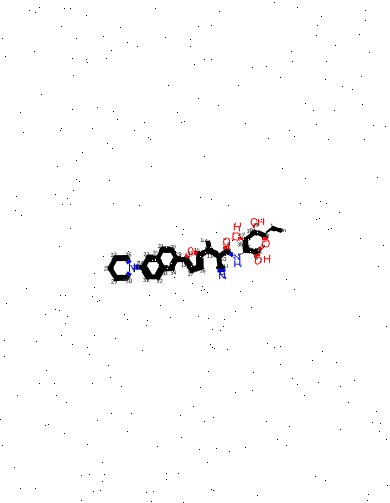 CC[C@H]1OC(O)[C@H](NC(=O)/C(C#N)=C(\C)c2ccc(-c3ccc4cc(N5CCCCC5)ccc4c3)o2)[C@@H](O)[C@@H]1O